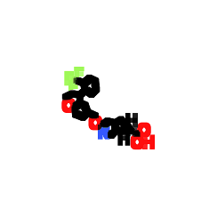 O=C(O)[C@H]1[C@@H]2Cc3cc(OCc4ccc5c(c4)C(c4ccccc4C(F)(F)F)CCO5)ncc3[C@@H]21